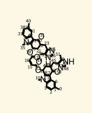 Cc1ccc2c(c1)c1c(n2C)C(OC(=O)/C=C\C(=O)OC2CC(Cc3nc[nH]c3C)C(=O)c3c2n(C)c2ccc(C)cc32)CC(Cc2nc[nH]c2C)C1=O